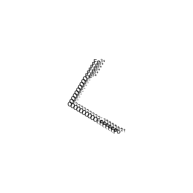 [Fe+3].[Fe+3].[Fe+3].[Fe+3].[Fe+3].[Fe+3].[Fe+3].[Fe+3].[Fe+3].[Fe+3].[Fe+3].[Fe+3].[O-2].[O-2].[O-2].[O-2].[O-2].[O-2].[O-2].[O-2].[O-2].[O-2].[O-2].[O-2].[O-2].[O-2].[O-2].[O-2].[O-2].[O-2].[O-2].[Pb+2]